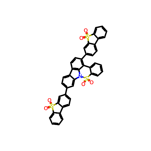 O=S1(=O)c2ccccc2-c2ccc(-c3ccc4c5ccc(-c6ccc7c(c6)S(=O)(=O)c6ccccc6-7)c6c5n(c4c3)S(=O)(=O)c3ccccc3-6)cc21